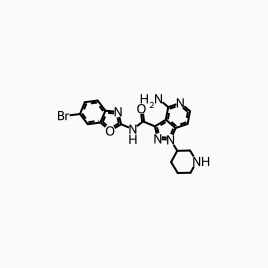 Nc1nccc2c1c(C(=O)Nc1nc3ccc(Br)cc3o1)nn2C1CCCNC1